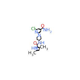 Cc1cc(C)c(C(=O)NC2CCN(c3cc(C(N)=O)cc(Cl)n3)CC2)[nH]1